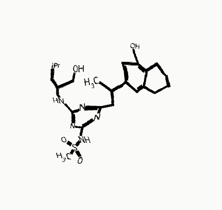 CC(C)CC(CO)Nc1nc(CC(C)c2cc(O)c3c(c2)CCCC3)nc(NS(C)(=O)=O)n1